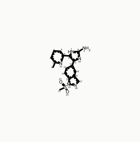 Cc1cccc(-c2[nH]c(N)nc2-c2ccc3c(cnn3S(C)(=O)=O)c2)n1